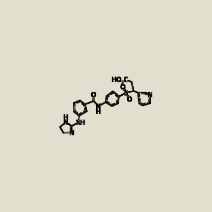 O=C(O)CC(c1cccnc1)S(=O)(=O)c1ccc(NC(=O)c2cccc(NC3=NCCN3)c2)cc1